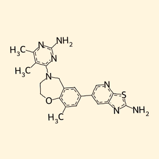 Cc1cc(-c2cnc3sc(N)nc3c2)cc2c1OCCN(c1nc(N)nc(C)c1C)C2